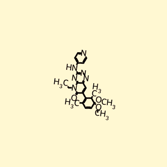 CCn1c(=O)c(C2=C(C)C=CC(OC)(OC)C2C)cc2nnc(Nc3ccncc3)nc21